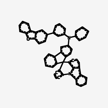 c1ccc(N(c2cccc(-c3ccc4oc5ccccc5c4c3)c2)c2ccc3c(c2)-c2ccccc2C32c3ccccc3-n3c4ccccc4c4cccc2c43)cc1